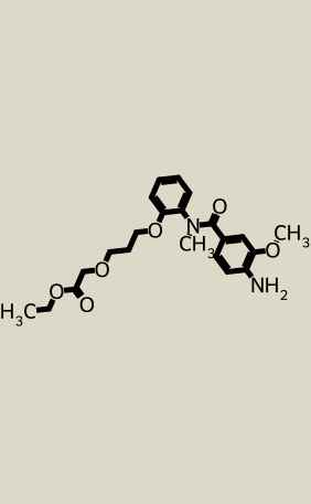 CCOC(=O)COCCCOc1ccccc1N(C)C(=O)c1ccc(N)c(OC)c1